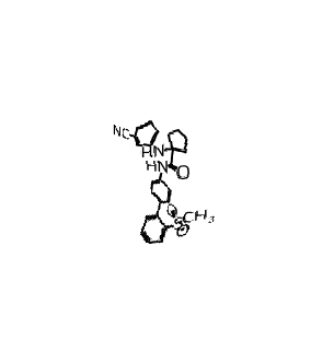 CS(=O)(=O)c1ccccc1-c1ccc(NC(=O)C2(Nc3cccc(C#N)c3)CCCC2)cc1